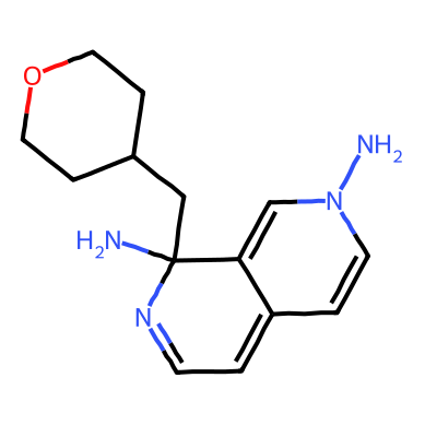 NN1C=CC2=CC=NC(N)(CC3CCOCC3)C2=C1